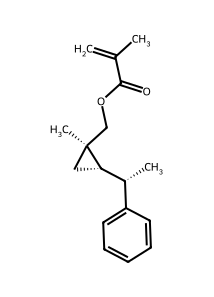 C=C(C)C(=O)OC[C@]1(C)C[C@H]1[C@H](C)c1ccccc1